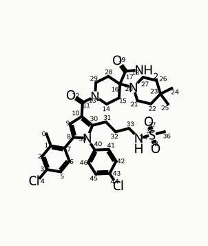 Cc1cc(Cl)ccc1-c1cc(C(=O)N2CCC(C(N)=O)(N3CCC(C)(C)CC3)CC2)c(CCCNS(C)(=O)=O)n1-c1ccc(Cl)cc1